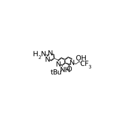 CC(C)(C)Nc1nc(-c2cnc(N)nc2)cc2ccn(CC(O)C(F)(F)F)c(=O)c12